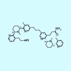 Cc1cc(CCCc2cnc([C@H]3CCC[C@@H](c4ncccc4C)N3C)c(CCC(N)=O)c2)cnc1[C@@H]1CCC[C@H](c2ncccc2CCC#N)N1C